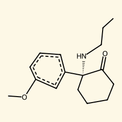 CCCN[C@@]1(c2cccc(OC)c2)CCCCC1=O